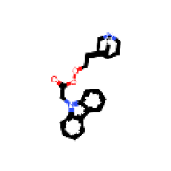 O=C(Cn1c2ccccc2c2ccccc21)OOCC=C1CN2CCC1CC2